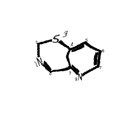 C1=NCSc2cccnc21